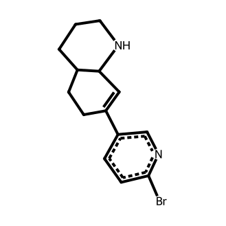 Brc1ccc(C2=CC3NCCCC3CC2)cn1